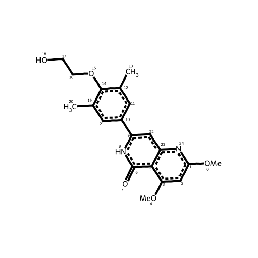 COc1cc(OC)c2c(=O)[nH]c(-c3cc(C)c(OCCO)c(C)c3)cc2n1